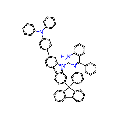 Nc1ccccc1/C(=N\Cn1c2cc(-c3ccc(N(c4ccccc4)c4ccccc4)cc3)ccc2c2ccc(C3(c4ccccc4)c4ccccc4-c4ccccc43)cc21)c1ccccc1